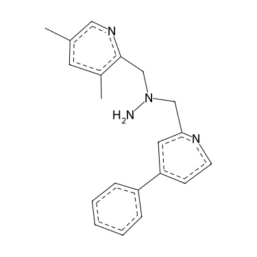 Cc1cnc(CN(N)Cc2cc(-c3ccccc3)ccn2)c(C)c1